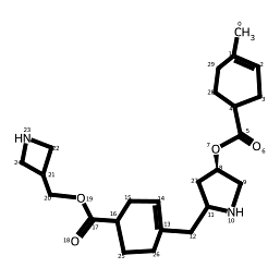 CC1=CCC(C(=O)O[C@H]2CNC(CC3=CCC(C(=O)OCC4CNC4)CC3)C2)CC1